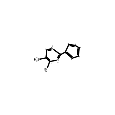 Bc1cnc(-c2ccccc2)nc1CC